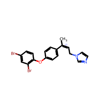 C/C(=C/Cn1ccnc1)c1ccc(Oc2ccc(Br)cc2Br)cc1